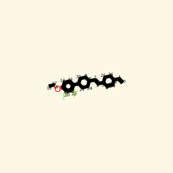 C=CC1C=CC(/C=C/C2CCC(c3ccc(OCC)c(F)c3F)CC2)CC1